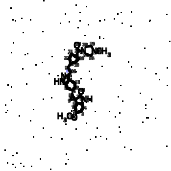 COc1ccc2c(c1)C1(C[C@H]1c1ccc3c(/C=C/c4ccc(C(=O)N5CCN(C)CC5)cc4)n[nH]c3c1)C(=O)N2